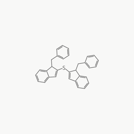 C1=C(SC2=Cc3ccccc3C2Cc2ccccc2)C(Cc2ccccc2)c2ccccc21